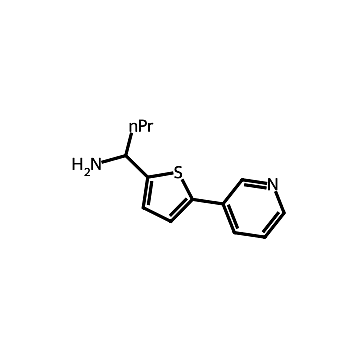 CCCC(N)c1ccc(-c2cccnc2)s1